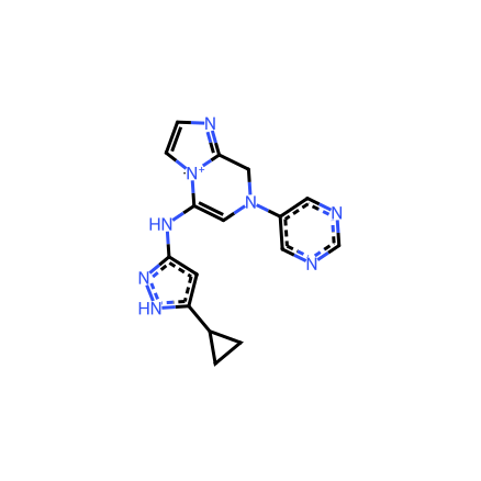 C1=C[N+]2C(Nc3cc(C4CC4)[nH]n3)=CN(c3cncnc3)CC2=N1